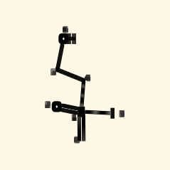 C=S(=O)(I)CCO